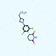 O=C(O)CC1CN(c2cc(F)c([C@H]3CCC(=O)NC3=O)c(F)c2)C1